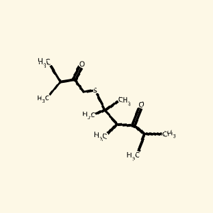 CC(C)C(=O)CSC(C)(C)C(C)C(=O)C(C)C